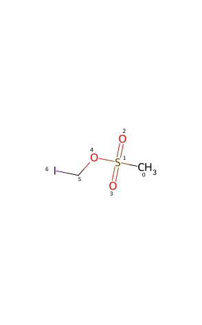 CS(=O)(=O)OCI